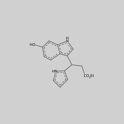 CCOC(=O)CC(c1ccc[nH]1)c1c[nH]c2cc(O)ccc12